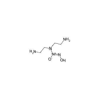 NCCN(CCN)[N+]([O-])=NO